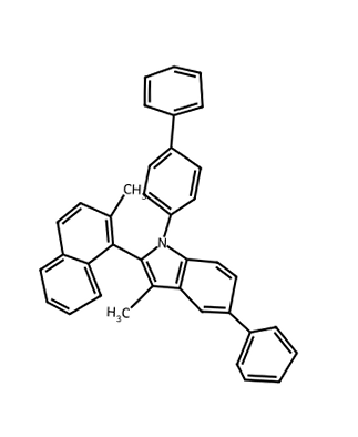 Cc1ccc2ccccc2c1-c1c(C)c2cc(-c3ccccc3)ccc2n1-c1ccc(-c2ccccc2)cc1